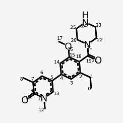 CCc1cc(-c2cc(C)c(=O)n(C)c2)cc(OC)c1C(=O)N1CCNCC1